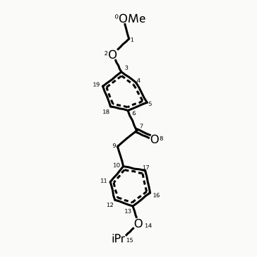 COCOc1ccc(C(=O)Cc2ccc(OC(C)C)cc2)cc1